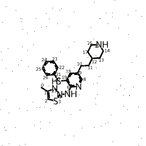 CC1=CSN(Nc2ncc(CCC3CCNCC3)cc2Sc2ccccc2)N1